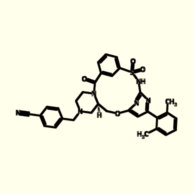 Cc1cccc(C)c1-c1cc2nc(n1)NS(=O)(=O)c1cccc(c1)C(=O)N1CCN(Cc3ccc(C#N)cc3)C[C@@H]1CO2